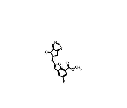 COC(=O)c1cc(F)cc2cc(CN3Cc4ncncc4C3=O)oc12